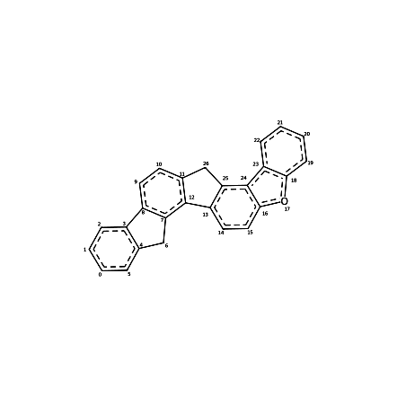 c1ccc2c(c1)Cc1c-2ccc2c1-c1ccc3oc4ccccc4c3c1C2